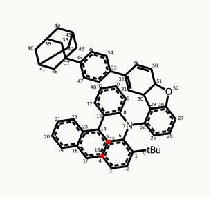 CC(C)(C)c1ccccc1N(c1ccccc1-c1cccc2ccccc12)c1cccc2c1C1C=C(c3ccc(C45CC6CC(CC(C6)C4)C5)cc3)C=CC1O2